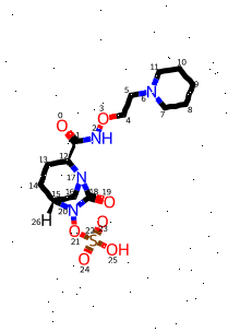 O=C(NOCCN1CCCCC1)[C@@H]1CC[C@@H]2CN1C(=O)N2OS(=O)(=O)O